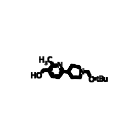 Cc1nc(C2CCN(COC(C)(C)C)CC2)ccc1CO